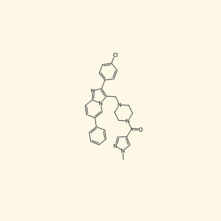 Cn1cc(C(=O)N2CCN(Cc3c(-c4ccc(Cl)cc4)nc4ccc(-c5ccccc5)cn34)CC2)cn1